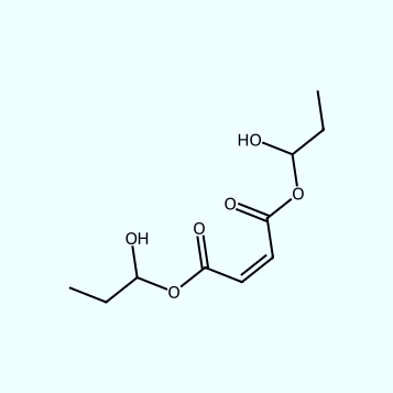 CCC(O)OC(=O)/C=C\C(=O)OC(O)CC